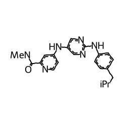 CNC(=O)c1cc(Nc2cnc(Nc3ccc(CC(C)C)cc3)nc2)ccn1